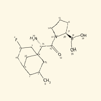 CC1CC2CC(F)CC([C@H](N)C(=O)N3CCC[C@H]3B(O)O)(C1)C2